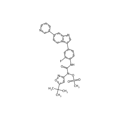 CC(C)(C)c1cc(N(OS(C)(=O)=O)C(=O)Nc2ccc(-c3cnc4cc(-c5cccnc5)ccn34)cc2F)no1